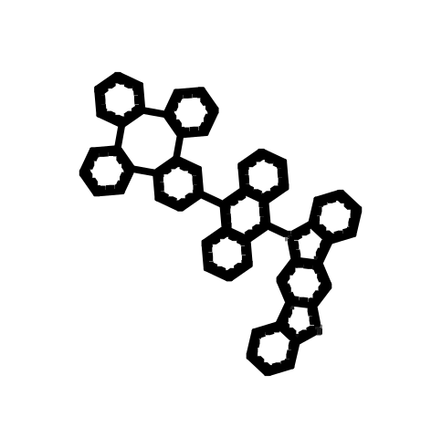 c1ccc2c(c1)-c1ccccc1-c1ccc(-c3c4ccccc4c(-n4c5ccccc5c5cc6sc7ccccc7c6cc54)c4ccccc34)cc1-c1ccccc1-2